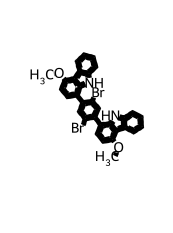 COc1ccc(-c2cc(Br)c(-c3ccc(OC)c4c3[nH]c3ccccc34)cc2Br)c2[nH]c3ccccc3c12